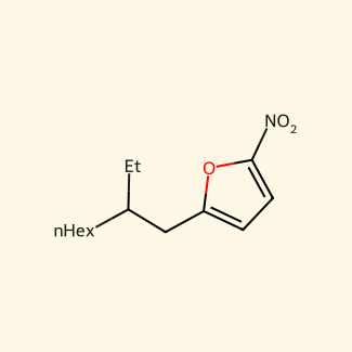 CCCCCCC(CC)Cc1ccc([N+](=O)[O-])o1